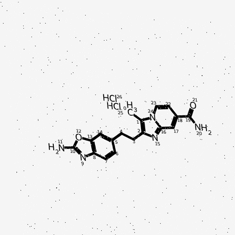 Cc1c(CCc2ccc3nc(N)oc3c2)nc2cc(C(N)=O)ccn12.Cl.Cl